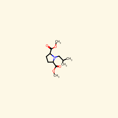 COC(=O)C1CCC(C(=O)OC)N1CC(C)C